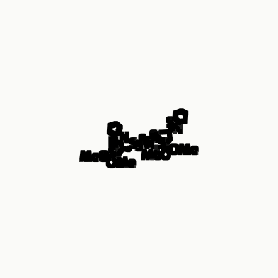 COC(OC)[SiH2]CC(CSSSSSSCC(C[SiH2]C(OC)OC)c1nc2ccccc2s1)c1nc2ccccc2s1